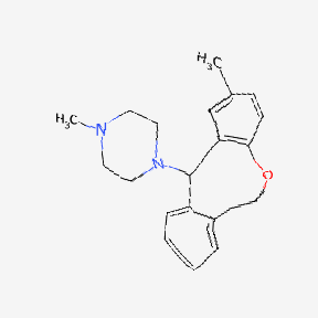 Cc1ccc2c(c1)C(N1CCN(C)CC1)c1ccccc1CO2